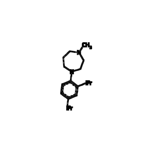 CC(C)c1ccc(N2CCCN(C)CC2)c(C(C)C)c1